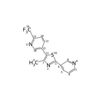 Cc1nc(-c2cccnc2)sc1-c1ccc(C(F)(F)F)nc1